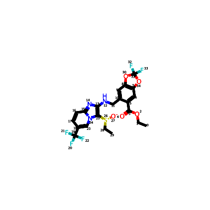 CCOC(=O)c1cc2c(cc1CNc1nc3ccc(C(F)(F)F)cn3c1[S+]([O-])CC)OC(F)(F)O2